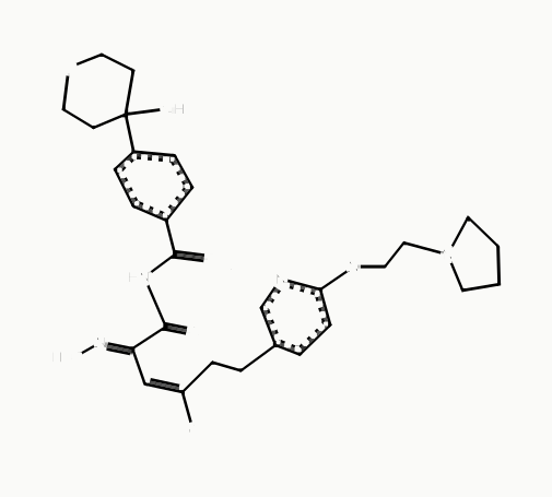 C=C(NC(=O)C(/C=C(/C)CCc1ccc(NCCN2CCCC2)nc1)=N/C)c1ccc(C2([SiH3])CCOCC2)cc1